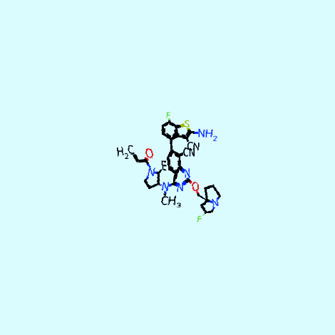 C=CC(=O)N1CC[C@@H](N(C)c2nc(OC[C@@]34CCCN3C[C@H](F)C4)nc3c(C#N)c(-c4ccc(F)c5sc(N)c(C#N)c45)ccc23)[C@@H]1CC